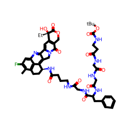 CC[C@@]1(O)C(=O)OCc2c1cc1n(c2=O)Cc2c-1nc1cc(F)c(C)c3c1c2[C@@H](NC(=O)CCCNC(=O)CNC(=O)C(Cc1ccccc1)NC(=O)CNC(=O)CNC(=O)CCNC(=O)OC(C)(C)C)CC3